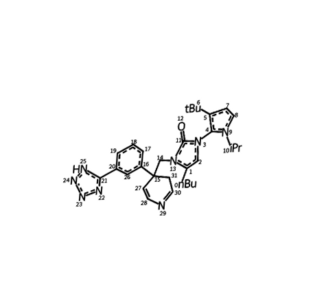 CCCCc1cn(-c2c(C(C)(C)C)ccn2C(C)C)c(=O)n1CC1(c2cccc(-c3nnn[nH]3)c2)C=CN=CC1